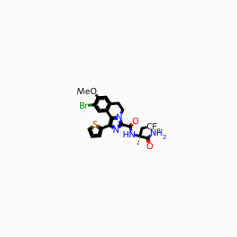 COc1cc2c(cc1Br)-c1c(-c3cccs3)nc(C(=O)N[C@@](C)(CC(F)(F)F)C(N)=O)n1CC2